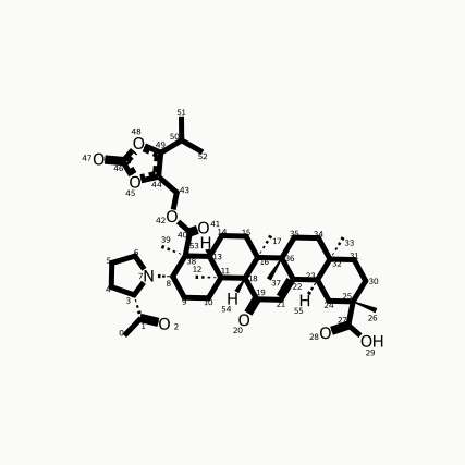 CC(=O)[C@@H]1CCCN1[C@H]1CC[C@@]2(C)[C@@H](CC[C@]3(C)[C@@H]2C(=O)C=C2[C@@H]4C[C@@](C)(C(=O)O)CC[C@]4(C)CC[C@]23C)[C@]1(C)C(=O)OCc1oc(=O)oc1C(C)C